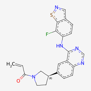 C=CC(=O)N1CC[C@H](c2ccc3ncnc(Nc4ccc5cnsc5c4F)c3c2)C1